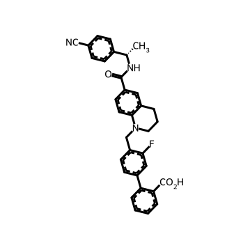 C[C@H](NC(=O)c1ccc2c(c1)CCCN2Cc1ccc(-c2ccccc2C(=O)O)cc1F)c1ccc(C#N)cc1